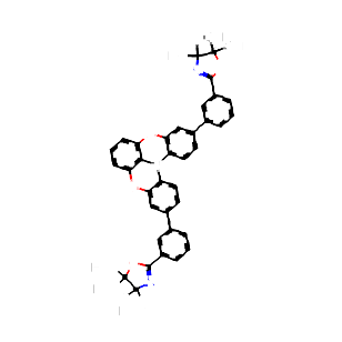 CC1(C)N=C(c2cccc(-c3ccc4c(c3)Oc3cccc5c3B4c3ccc(-c4cccc(C6=NC(C)(C)C(C)(C)O6)c4)cc3O5)c2)OC1(C)C